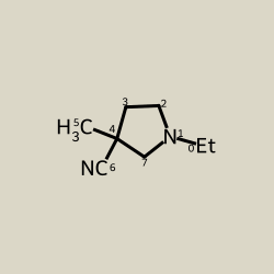 CCN1CCC(C)(C#N)C1